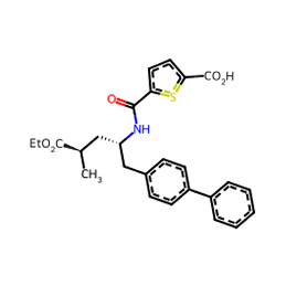 CCOC(=O)[C@H](C)C[C@@H](Cc1ccc(-c2ccccc2)cc1)NC(=O)c1ccc(C(=O)O)s1